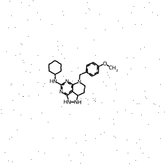 COc1ccc(CN2CCC3NNc4nc(NC5CCCCC5)nc2c43)cc1